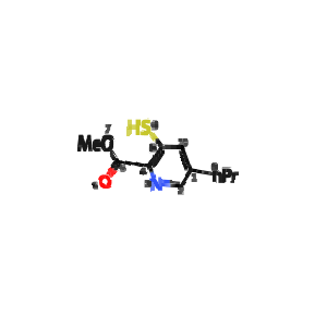 CCCc1cnc(C(=O)OC)c(S)c1